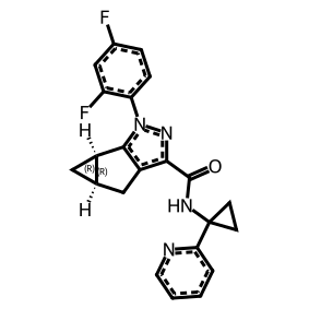 O=C(NC1(c2ccccn2)CC1)c1nn(-c2ccc(F)cc2F)c2c1C[C@H]1C[C@@H]21